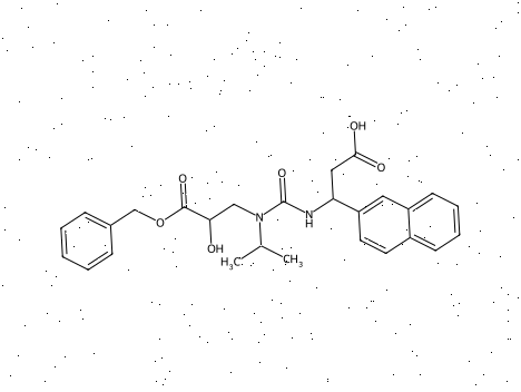 CC(C)N(CC(O)C(=O)OCc1ccccc1)C(=O)NC(CC(=O)O)c1ccc2ccccc2c1